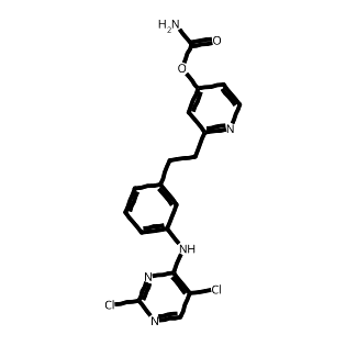 NC(=O)Oc1ccnc(CCc2cccc(Nc3nc(Cl)ncc3Cl)c2)c1